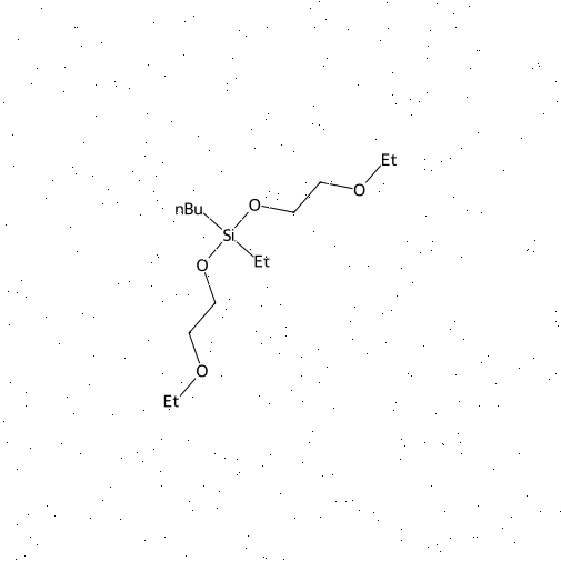 CCCC[Si](CC)(OCCOCC)OCCOCC